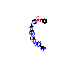 Cn1cc(-c2cnc3c(nnn3C[C@@H]3CN(c4ncc(N5CC(CN6CCN(C(=O)OCc7ccccc7)CC6)C5)cn4)CCO3)n2)cn1